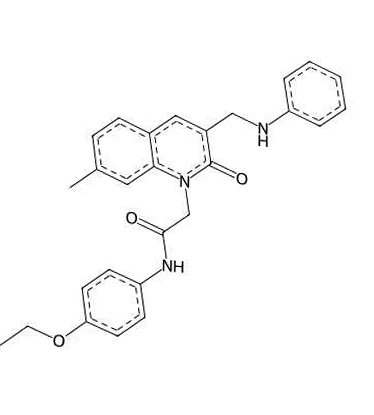 CCOc1ccc(NC(=O)Cn2c(=O)c(CNc3ccccc3)cc3ccc(C)cc32)cc1